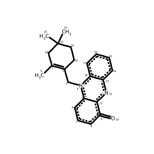 CC1=C(Cn2c3cccc(=O)c-3nc3ccccc32)CCC(C)(C)C1